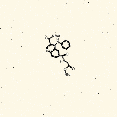 CNC(=O)c1cnc2ccc(C(=O)NCC(=O)OC(C)(C)C)cc2c1Nc1ccccc1